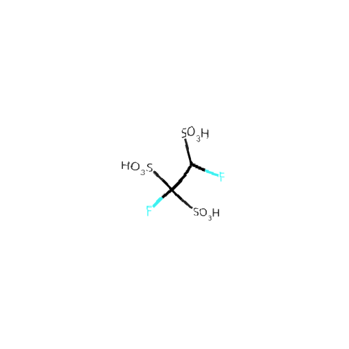 O=S(=O)(O)C(F)C(F)(S(=O)(=O)O)S(=O)(=O)O